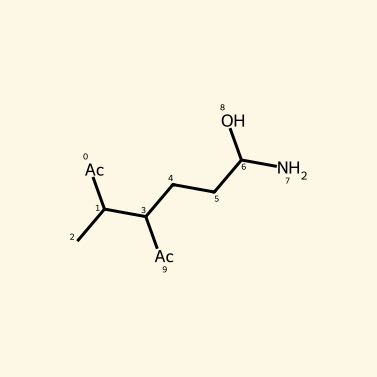 CC(=O)C(C)C(CCC(N)O)C(C)=O